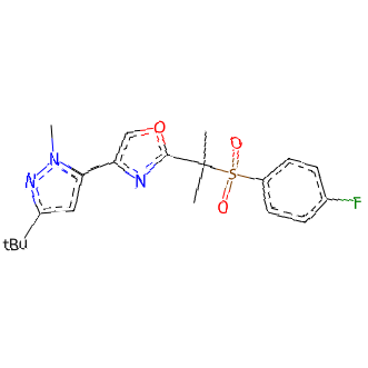 Cn1nc(C(C)(C)C)cc1-c1coc(C(C)(C)S(=O)(=O)c2ccc(F)cc2)n1